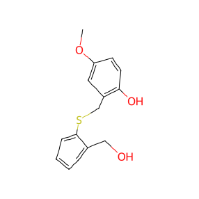 COc1ccc(O)c(CSc2ccccc2CO)c1